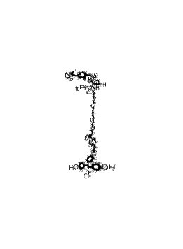 Cc1ncsc1-c1ccc(CNC(=O)[C@@H]2C[C@@H](O)CN2C(=O)[C@@H](NC(=O)CCOCCOCCOCCOCCOCCC(=O)N2CCN(CCOc3ccc(C(=C(CCCl)c4ccc(O)cc4)c4ccc(O)cc4)cc3)CC2)C(C)(C)C)cc1